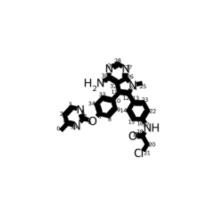 Cc1ccnc(Oc2ccc(-c3c(-c4ccc(NC(=O)CCl)cc4)n(C)c4ncnc(N)c34)cc2)n1